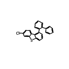 Clc1ccc2c(c1)sc1cccc(-c3ccccc3-c3ccccc3)c12